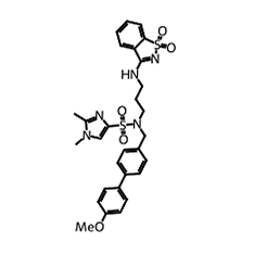 COc1ccc(-c2ccc(CN(CCCNC3=NS(=O)(=O)c4ccccc43)S(=O)(=O)c3cn(C)c(C)n3)cc2)cc1